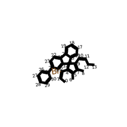 C/C=C(/Br)C1=C(C)C(C)=C(/C=C\CC)C12c1ccccc1-c1ccc(-c3ccccc3)cc12